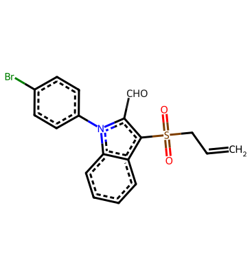 C=CCS(=O)(=O)c1c(C=O)n(-c2ccc(Br)cc2)c2ccccc12